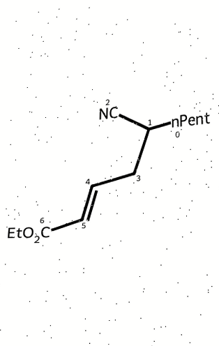 CCCCCC(C#N)CC=CC(=O)OCC